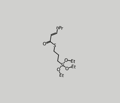 CCCC=CC(=O)SCCC[Si](OCC)(OCC)OCC